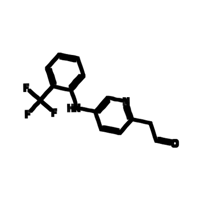 O=CCc1ccc(Nc2ccccc2C(F)(F)F)cn1